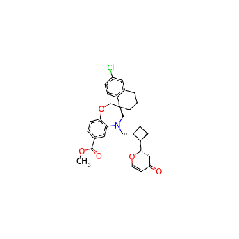 COC(=O)c1ccc2c(c1)N(C[C@@H]1CC[C@H]1[C@@H]1CC(=O)C=CO1)C[C@@]1(CCCc3cc(Cl)ccc31)CO2